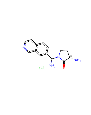 Cl.NC(c1ccc2ccncc2c1)N1CC[C@H](N)C1=O